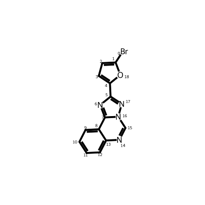 Brc1ccc(-c2nc3c4ccccc4ncn3n2)o1